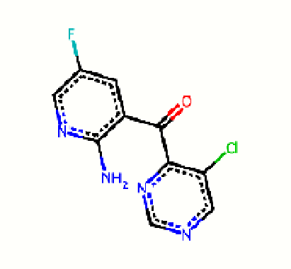 Nc1ncc(F)cc1C(=O)c1ncncc1Cl